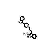 Cc1[nH]c2ccccc2c1CCCN1CCC(c2noc3ccccc23)CC1